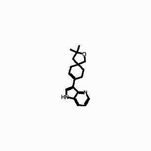 CC1(C)CC2(CC=C(c3c[nH]c4cccnc34)CC2)CO1